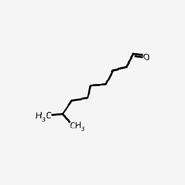 CC(C)CCCCCCC=O